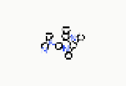 c1ccc2c(c1)ccc1c3c4c(cc5c6ccccc6n(c21)c53)c1ccccc1n4-c1ccc(-n2c3ccccc3c3ccncc32)cc1